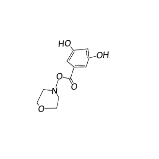 O=C(ON1CCOCC1)c1cc(O)cc(O)c1